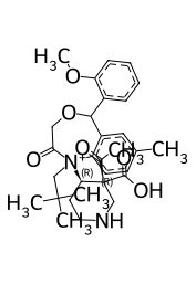 COc1ccccc1C1OCC(=O)[N+](CC(C)(C)C)([C@@H]2CCNC[C@@]2(C(C)=O)C(=O)O)c2ccc(C)cc21